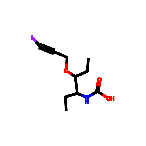 CCC(NC(=O)O)C(CC)OCC#CI